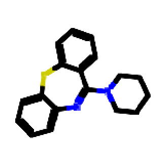 c1ccc2c(c1)N=C(N1CCCCC1)c1ccccc1S2